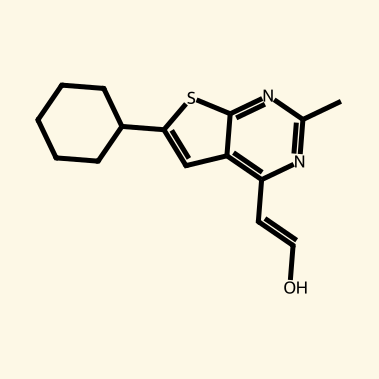 Cc1nc(C=CO)c2cc(C3CCCCC3)sc2n1